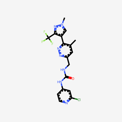 Cc1cc(CNC(=O)Nc2ccnc(Cl)c2)nnc1-c1cn(C)nc1C(F)(F)F